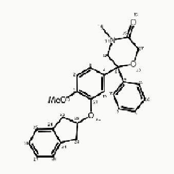 COc1ccc(C2(c3ccccc3)CN(C)C(=O)CO2)cc1OC1Cc2ccccc2C1